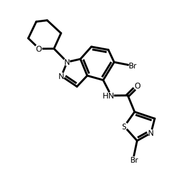 O=C(Nc1c(Br)ccc2c1cnn2C1CCCCO1)c1cnc(Br)s1